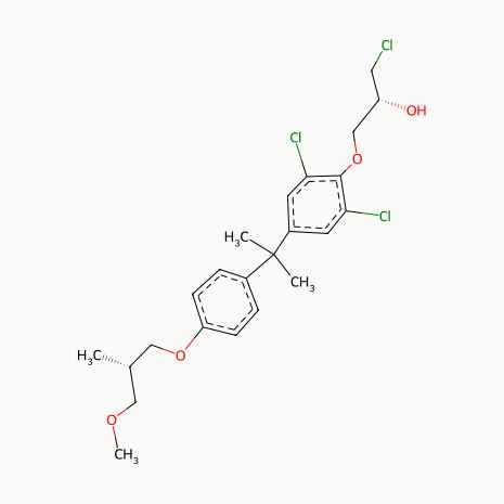 COC[C@H](C)COc1ccc(C(C)(C)c2cc(Cl)c(OC[C@@H](O)CCl)c(Cl)c2)cc1